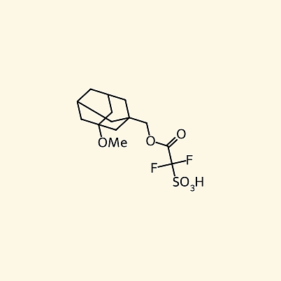 COC12CC3CC(CC(COC(=O)C(F)(F)S(=O)(=O)O)(C3)C1)C2